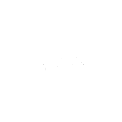 CCNCCC(S)CCN